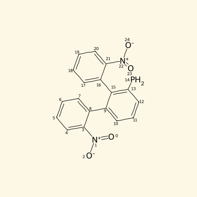 O=[N+]([O-])c1ccccc1-c1cccc(P)c1-c1ccccc1[N+](=O)[O-]